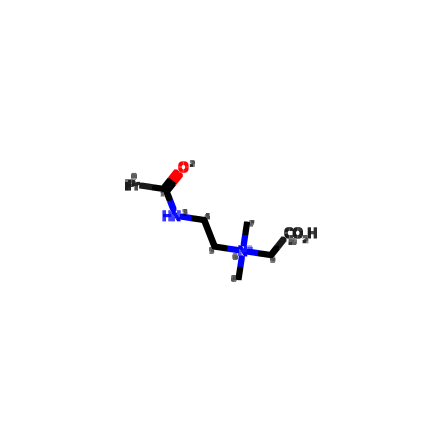 CC(C)C(=O)NCC[N+](C)(C)CC(=O)O